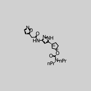 CCCN(CCC)C(=O)O[C@@H]1CC[C@H](c2cc(NC(=O)Cc3ccno3)n[nH]2)C1